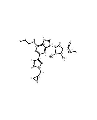 CCCNc1nc(-c2cn(CC3CC3)nn2)nc2c1ncn2[C@@H]1O[C@H](C(=O)NC)[C@@H](O)[C@H]1O